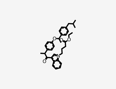 CCOC(=O)CCCn1cc(C(=O)C(C)c2ccc(OC(C)c3ccc(CC(C)C)cc3)cc2)c2ccccc21